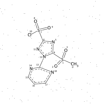 CS(=O)(=O)c1nc(S(=O)(=O)Cl)nn1-c1ncccn1